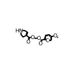 COc1ccc(C(=O)OCOC(=O)C2=CCNCC2)cc1